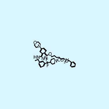 CC(Nc1nnc(OCCCCCCOCc2ccccc2)c2ccc(N3CCOCC3)cc12)c1cccc(C(F)(F)C2CCN(C(=O)O)CC2)c1